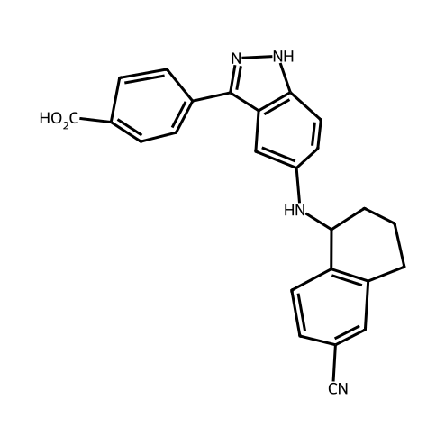 N#Cc1ccc2c(c1)CCCC2Nc1ccc2[nH]nc(-c3ccc(C(=O)O)cc3)c2c1